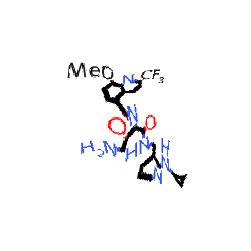 COc1ccc(-c2nc(C(=O)NCc3cccnc3NC3CC3)c(CN)o2)c2ccc(C(F)(F)F)nc12